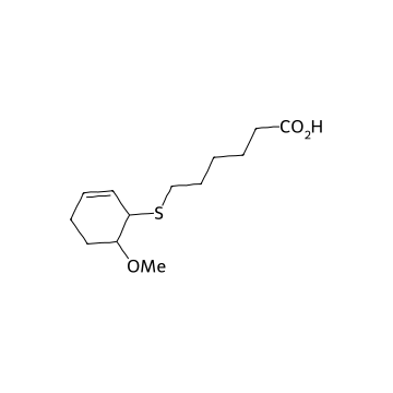 COC1CCC=CC1SCCCCCC(=O)O